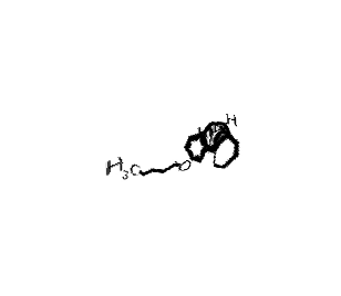 CCCC[CH]Oc1ccc2c(c1)[C@@]13CCCC[C@H]1[C@@H](C2)NCC3